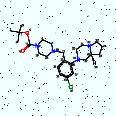 CC(C)(C)OC(=O)N1CCN(Cc2ccc(Cl)cc2N2CCN3CCC[C@@H]3C2)CC1